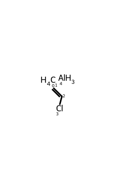 C.C=CCl.[AlH3]